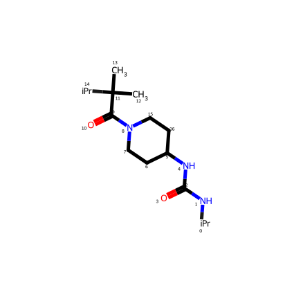 CC(C)NC(=O)NC1CCN(C(=O)C(C)(C)C(C)C)CC1